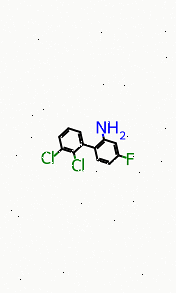 Nc1cc(F)ccc1-c1cccc(Cl)c1Cl